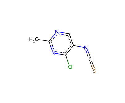 Cc1ncc(N=C=S)c(Cl)n1